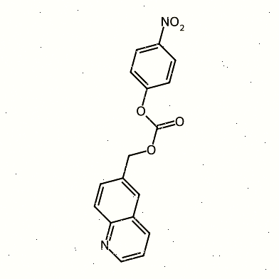 O=C(OCc1ccc2ncccc2c1)Oc1ccc([N+](=O)[O-])cc1